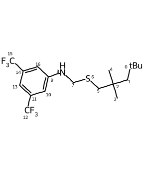 CC(C)(C)CC(C)(C)CSCNc1cc(C(F)(F)F)cc(C(F)(F)F)c1